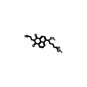 CNCCCN(C)c1ccc2c3c(cccc13)C(=O)N(CCS)C2=O